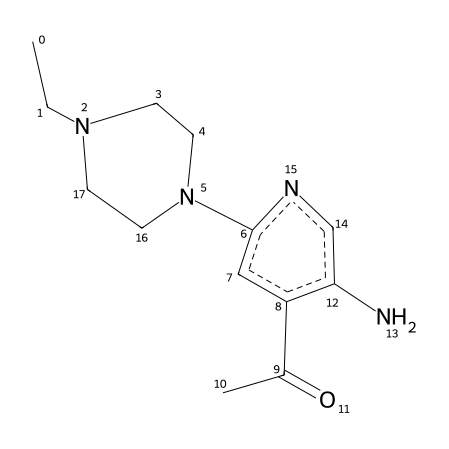 CCN1CCN(c2cc(C(C)=O)c(N)cn2)CC1